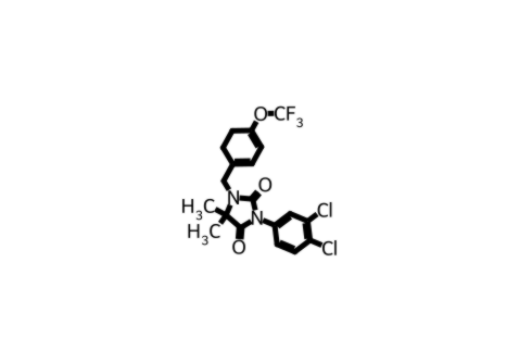 CC1(C)C(=O)N(c2ccc(Cl)c(Cl)c2)C(=O)N1CC1=CC=C(OC(F)(F)F)CC1